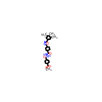 COC(=O)c1ccc(C(=O)NNC(=O)c2ccc(-c3nnc(-c4cc(C)c(C)c(C)c4)o3)cc2)cc1